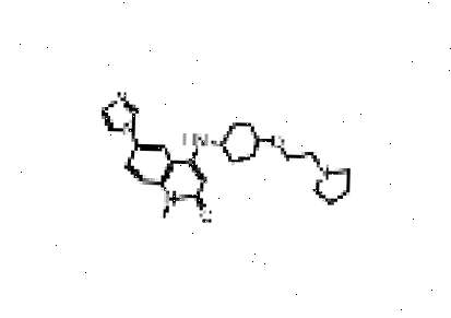 Cn1c(=O)cc(N[C@H]2CC[C@H](OCCN3CCCC3)CC2)c2cc(-n3ccnc3)ccc21